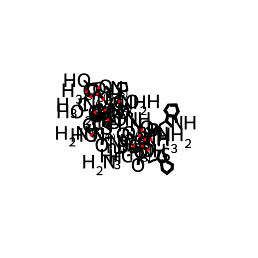 CCCC[C@@H](C(=O)N(C)[C@@H](CCCC)C(=O)N[C@@H](CCCN)C(=O)N[C@@H](CSCC(=O)N[C@@H](Cc1ccc(O)cc1)C(=O)N(C)[C@@H](C)C(=O)N[C@@H](CC(=O)O)C(=O)N1CCC[C@H]1C(=O)N[C@@H](CN)C(=O)N[C@@H](CC(=O)O)C(=O)N1C[C@H](O)C[C@H]1C=O)C(=O)NCC(N)=O)N(C)C(=O)[C@H](Cc1csc2ccccc12)NC(=O)[C@H](CCN)NC(=O)[C@@H](N)Cc1c[nH]c2ccccc12